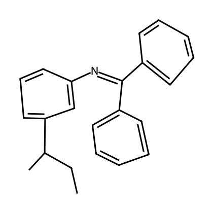 CCC(C)c1cccc(N=C(c2ccccc2)c2ccccc2)c1